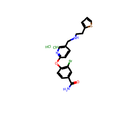 Cl.Cl.NC(=O)c1ccc(Oc2ccc(CNCCc3cccs3)cn2)c(Br)c1